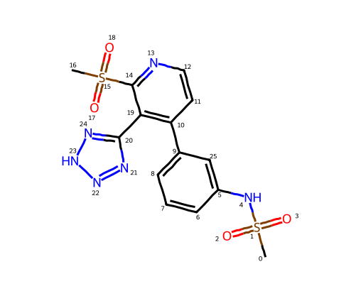 CS(=O)(=O)Nc1cccc(-c2ccnc(S(C)(=O)=O)c2-c2nn[nH]n2)c1